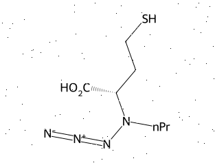 CCCN(N=[N+]=[N-])[C@@H](CCS)C(=O)O